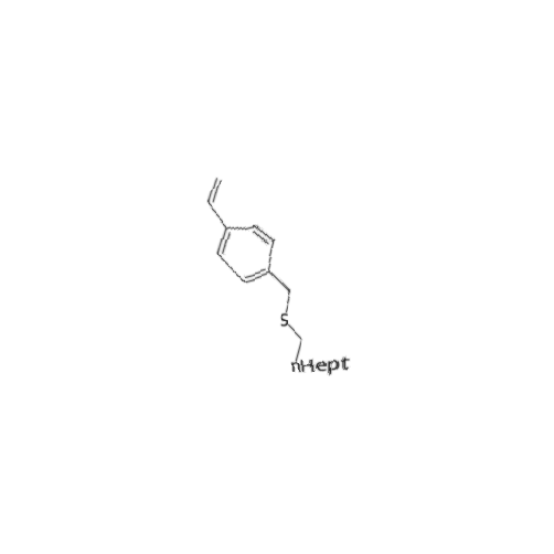 C=Cc1ccc(CSCCCCCCCC)cc1